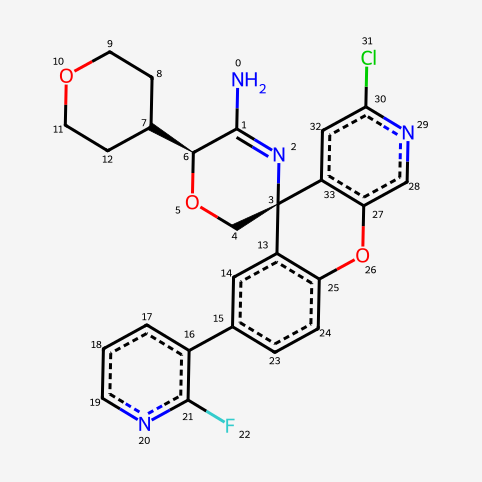 NC1=N[C@@]2(CO[C@H]1C1CCOCC1)c1cc(-c3cccnc3F)ccc1Oc1cnc(Cl)cc12